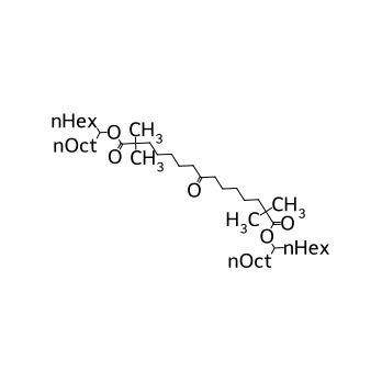 CCCCCCCCC(CCCCCC)OC(=O)C(C)(C)CCCCCC(=O)CCCCCC(C)(C)C(=O)OC(CCCCCC)CCCCCCCC